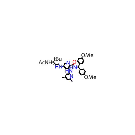 COc1ccc(C(NC(=O)c2ncc(NC[CH]C(NC(C)=O)C(C)(C)C)cc2Nc2cc(C)cc(C)n2)c2ccc(OC)cc2)cc1